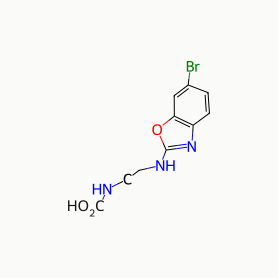 O=C(O)NCCNc1nc2ccc(Br)cc2o1